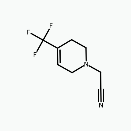 N#CCN1CC=C(C(F)(F)F)CC1